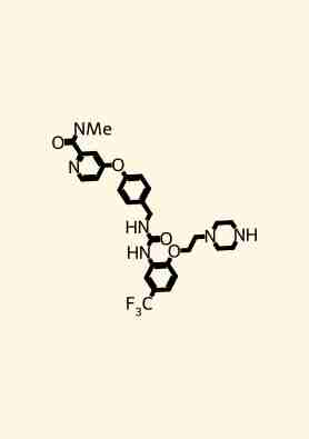 CNC(=O)c1cc(Oc2ccc(CNC(=O)Nc3cc(C(F)(F)F)ccc3OCCN3CCNCC3)cc2)ccn1